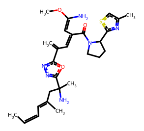 C=C(/C=C(\C=C(/N)OC)C(=O)N1CCCC1c1nc(C)cs1)c1nnc(C(C)(N)C/C(C)=C/C=C\C)o1